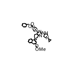 COCOc1cc(N2CCc3c(nc(NC4CCN(C5CC5)CC4)nc3N3CCN(C(=O)OCc4ccccc4)CC3)C2)c2ccccc2c1